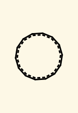 c1ccccccccccccc1